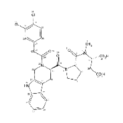 CN(C(=O)[C@@H]1CCCN1C(=O)[C@H]1Cc2c([nH]c3ccccc23)CN1C(=O)Nc1ccc(Cl)c(Cl)c1)[C@@H](CC(=O)O)C(=O)O